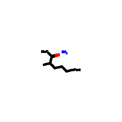 CCCCCCCCC(C)C(=O)OC.N